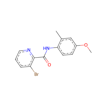 COc1ccc(NC(=O)c2ncccc2Br)c(C)c1